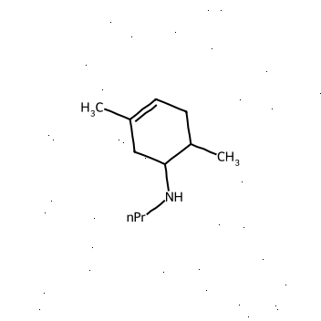 CCCNC1CC(C)=CCC1C